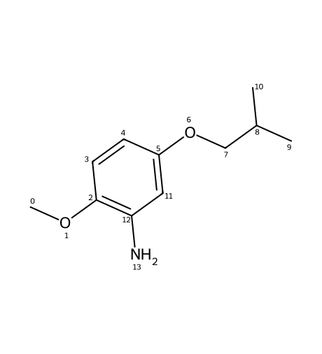 COc1ccc(OCC(C)C)cc1N